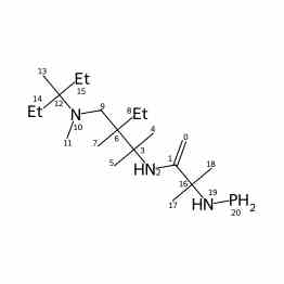 C=C(NC(C)(C)C(C)(CC)CN(C)C(C)(CC)CC)C(C)(C)NP